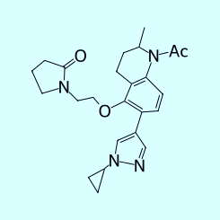 CC(=O)N1c2ccc(-c3cnn(C4CC4)c3)c(OCCN3CCCC3=O)c2CCC1C